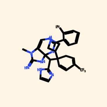 CC(C)c1ccccc1C1=NC=C2N(C)C(=N)NC2(C(c2ncc[nH]2)C2(C3CNC3)C=CC(C(F)(F)F)=CC2)N1